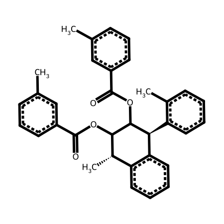 Cc1cccc(C(=O)OC2C(OC(=O)c3cccc(C)c3)[C@@H](C)c3ccccc3[C@@H]2c2ccccc2C)c1